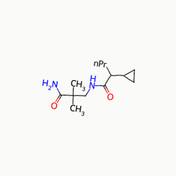 CCCC(C(=O)NCC(C)(C)C(N)=O)C1CC1